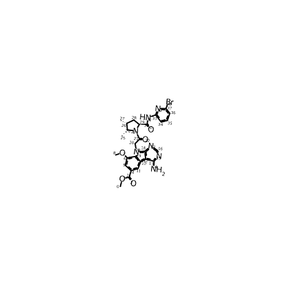 COC(=O)c1cc(OC)c2c(c1)c1c(N)ncnc1n2CC(=O)N1[C@H](C)[C@H](C)C[C@H]1C(=O)Nc1cccc(Br)n1